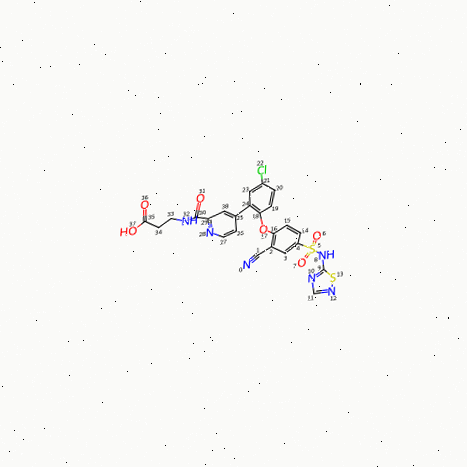 N#Cc1cc(S(=O)(=O)Nc2ncns2)ccc1Oc1ccc(Cl)cc1-c1ccnc(C(=O)NCCC(=O)O)c1